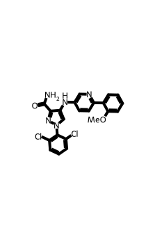 COc1ccccc1-c1ccc(Nc2cn(-c3c(Cl)cccc3Cl)nc2C(N)=O)cn1